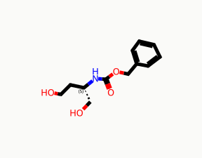 O=C(N[C@H](CO)CCO)OCc1ccccc1